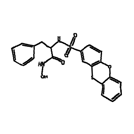 O=C(NO)C(Cc1ccccc1)NS(=O)(=O)c1ccc2c(c1)Sc1ccccc1O2